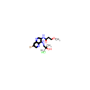 COCCC(=O)Nc1cnc2cc(Br)cnc2c1NCC(C)(C)O.Cl